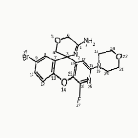 NC1=NC2(COC1)c1cc(Br)ccc1Oc1c2cc(N2CCOCC2)nc1F